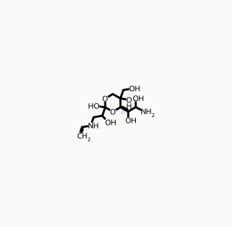 C=CNCC(O)C1(O)OCC(O)(CO)/C(=C(/O)C(N)O)O1